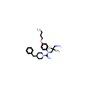 CC(C)(CN)CN(C(=N)N1CCC(Cc2ccccc2)CC1)c1ccc(OCCCC(F)(F)F)cc1